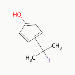 CC(C)(I)c1ccc(O)cc1